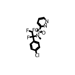 CN(C(F)(c1ccc(Cl)cc1)C(F)F)S(=O)(=O)c1cccnn1